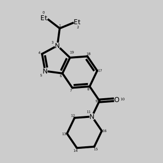 CCC(CC)n1cnc2cc(C(=O)N3CCCCC3)ccc21